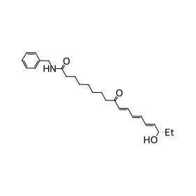 CC[C@H](O)/C=C/C=C/C=C/C(=O)CCCCCCCC(=O)NCc1ccccc1